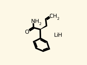 C=CC[C@H](C(N)=O)c1ccccc1.[LiH]